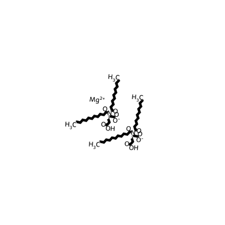 CCCCCCCCCCCC(=O)N(C(=O)CCCCCCCCCCC)[C@@H](CCC(=O)O)C(=O)[O-].CCCCCCCCCCCC(=O)N(C(=O)CCCCCCCCCCC)[C@@H](CCC(=O)O)C(=O)[O-].[Mg+2]